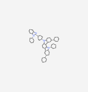 c1ccc(-c2ccc3c(c2)c2c(ccc4c5cc(-c6ccccc6)ccc5n(-c5ccccc5)c42)n3-c2ccc(-c3nc4ccccc4n3-c3ccccc3)cc2)cc1